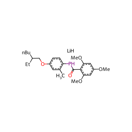 CCCCC(CC)COc1ccc(PC(=O)c2c(OC)cc(OC)cc2OC)c(C)c1.[LiH]